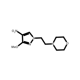 COc1nn(CCN2CCOCC2)cc1[N+](=O)[O-]